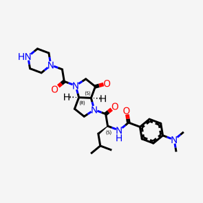 CC(C)C[C@H](NC(=O)c1ccc(N(C)C)cc1)C(=O)N1CC[C@@H]2[C@H]1C(=O)CN2C(=O)CN1CCNCC1